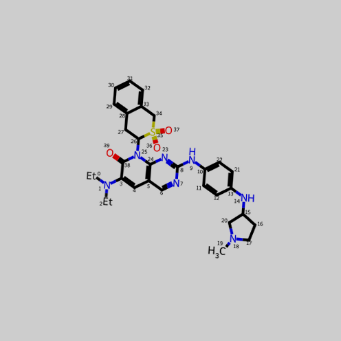 CCN(CC)c1cc2cnc(Nc3ccc(NC4CCN(C)C4)cc3)nc2n(C2Cc3ccccc3CS2(=O)=O)c1=O